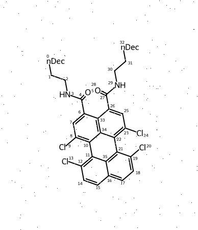 CCCCCCCCCCCCNC(=O)c1cc(Cl)c2c3c(Cl)ccc4ccc(Cl)c(c5c(Cl)cc(C(=O)NCCCCCCCCCCCC)c1c25)c43